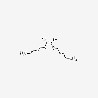 CCCCCS/C(S)=C(/S)SCCCCC